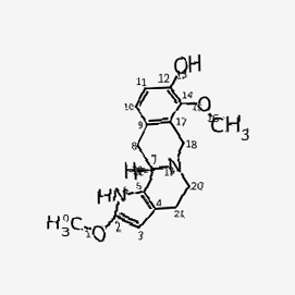 COc1cc2c([nH]1)[C@@H]1Cc3ccc(O)c(OC)c3CN1CC2